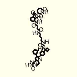 O=C(CCC(=O)Nc1cccc2c1C(=O)N(C1CCCC(=O)NC1=O)C2=O)NCCCCNC(=O)CNC1(c2ccc(-c3nc4ccn5c(=O)[nH]nc5c4cc3-c3ccccc3)cc2)CCC1